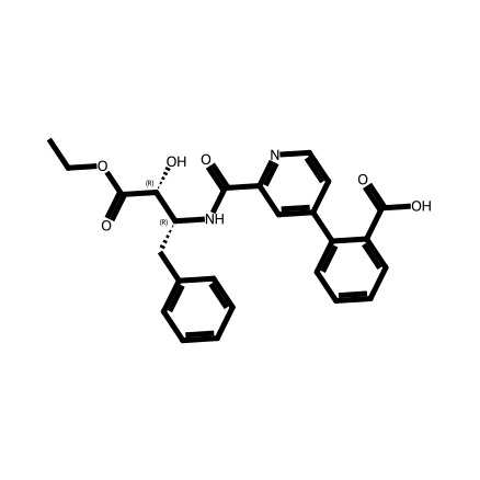 CCOC(=O)[C@H](O)[C@@H](Cc1ccccc1)NC(=O)c1cc(-c2ccccc2C(=O)O)ccn1